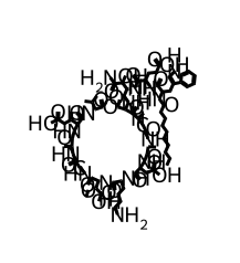 CCCCCCCCCC(=O)NC(Cc1c[nH]c2ccccc12)C(=O)NC(CCC(=O)O)C(=O)NC(C(=O)NC1C(=O)N(C)CC(=O)NC(C)C(=O)NC(CC(=O)O)C(=O)NC(CCCCN)C(=O)NC(C(OC)C(=O)O)C(=O)NCC(=O)NC(C)C(=O)NC(C(C)CC(=O)O)C(=O)NC(C(C)C)C(=O)OC1C)C(O)C(N)=O